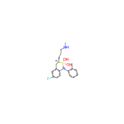 CNCCC[C@@H]1Cc2cc(F)ccc2N(c2ccccc2C)S1(O)O